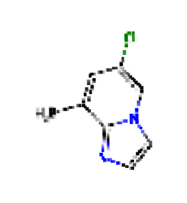 Bc1cc(Cl)cn2ccnc12